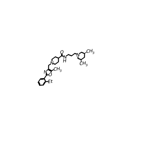 CCc1ccccc1-c1nc(CN2CCC(C(=O)NCCCN3C[C@H](C)C[C@H](C)C3)CC2)c(C)o1